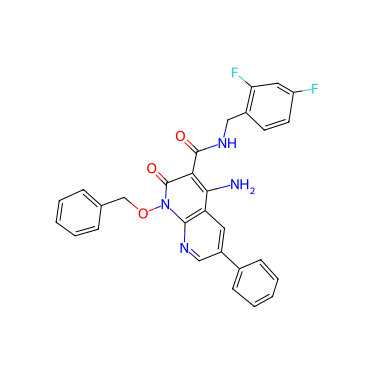 Nc1c(C(=O)NCc2ccc(F)cc2F)c(=O)n(OCc2ccccc2)c2ncc(-c3ccccc3)cc12